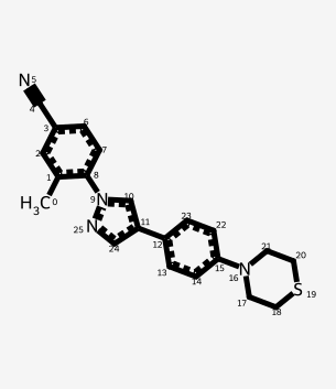 Cc1cc(C#N)ccc1-n1cc(-c2ccc(N3CCSCC3)cc2)cn1